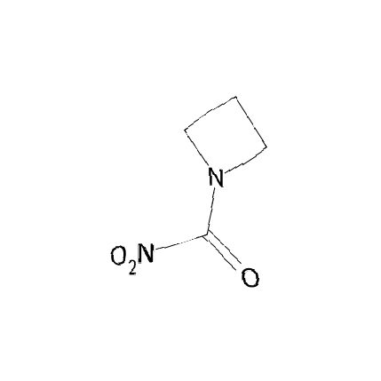 O=C(N1CCC1)[N+](=O)[O-]